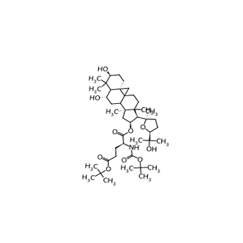 CC(C)(C)OC(=O)CC[C@H](NC(=O)OC(C)(C)C)C(=O)O[C@H]1C[C@@]2(C)C3C[C@H](O)C4C(C)(C)[C@@H](O)CC[C@@]45CC35CCC2(C)[C@H]1[C@@]1(C)CC[C@@H](C(C)(C)O)O1